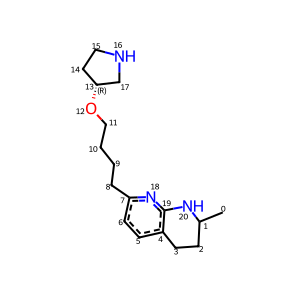 CC1CCc2ccc(CCCCO[C@@H]3CCNC3)nc2N1